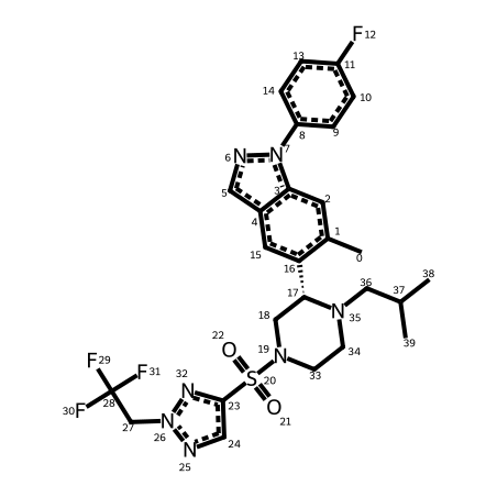 Cc1cc2c(cnn2-c2ccc(F)cc2)cc1[C@H]1CN(S(=O)(=O)c2cnn(CC(F)(F)F)n2)CCN1CC(C)C